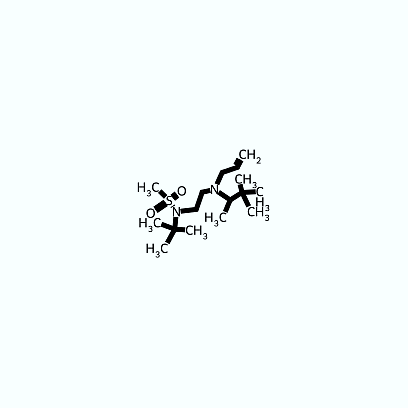 C=CCN(CCN(C(C)(C)C)S(C)(=O)=O)C(C)C(C)(C)C